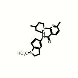 Cc1ccc(C(=O)Nc2ccc3c(c2)CCN3C(=O)O)c(N2CCC(C)CC2)n1